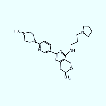 CC1Cc2nc(-c3ccc(N4CCN(C)CC4)nc3)nc(NCCCN3CCCC3)c2CO1